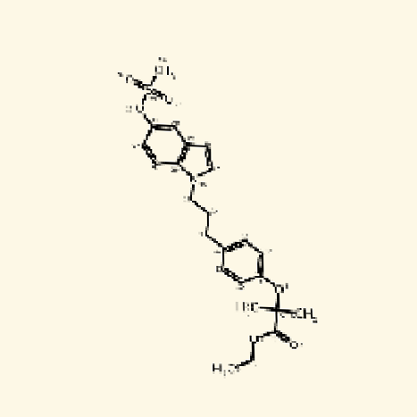 CCOC(=O)C(C)(C)Oc1ccc(CCCn2ccc3cc(OS(C)(=O)=O)ccc32)cc1